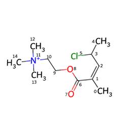 CC(=CC(C)Cl)C(=O)OCC[N+](C)(C)C